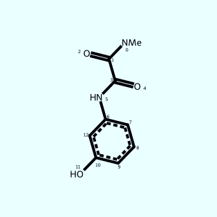 CNC(=O)C(=O)Nc1cccc(O)c1